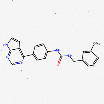 COc1cccc(CNC(=O)Nc2ccc(-c3ncnc4[nH]ccc34)cc2)c1